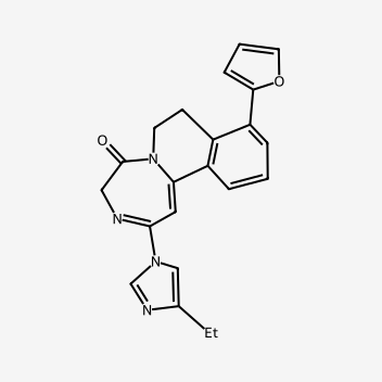 CCc1cn(C2=NCC(=O)N3CCc4c(cccc4-c4ccco4)C3=C2)cn1